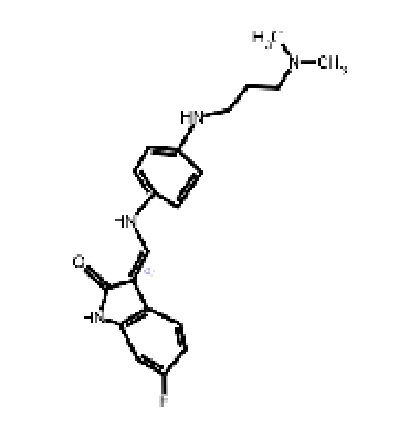 CN(C)CCCNc1ccc(N/C=C2\C(=O)Nc3cc(F)ccc32)cc1